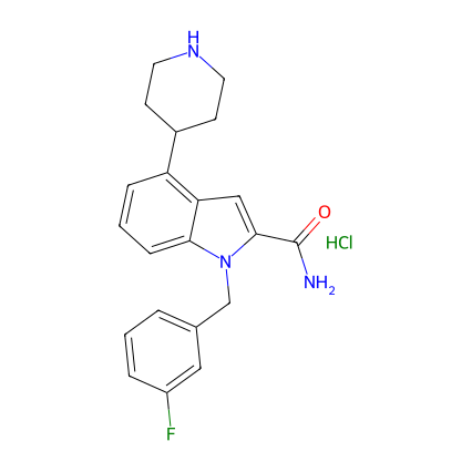 Cl.NC(=O)c1cc2c(C3CCNCC3)cccc2n1Cc1cccc(F)c1